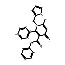 Cc1cc(=O)c(C(=O)Nc2ccccc2)c(-c2ccncc2)n1Cc1ccco1